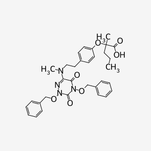 CCCC(C)(Oc1ccc(CCN(C)c2nn(OCc3ccccc3)c(=O)n(OCc3ccccc3)c2=O)cc1)C(=O)O